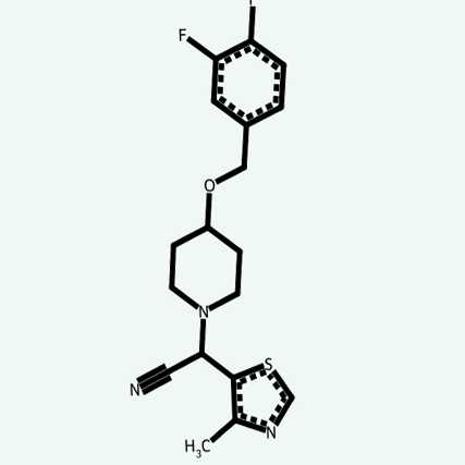 Cc1ncsc1C(C#N)N1CCC(OCc2ccc(F)c(F)c2)CC1